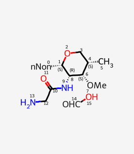 CCCCCCCCC[C@@H]1OC[C@H](C)[C@H](OC)[C@@H]1NC(=O)CN.O=CO